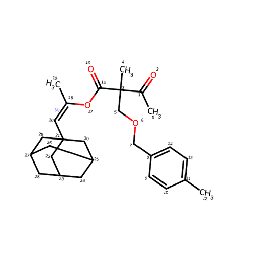 CC(=O)C(C)(COCc1ccc(C)cc1)C(=O)O/C(C)=C\C12CC3CC(CC(C3)C1)C2